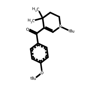 CC(C)(C)Oc1ccc(C(=O)C2=CN(C(C)(C)C)CCC2(C)C)cc1